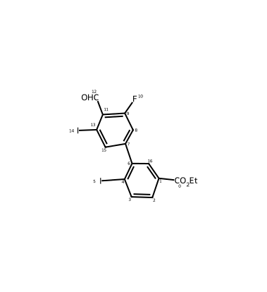 CCOC(=O)c1ccc(I)c(-c2cc(F)c(C=O)c(I)c2)c1